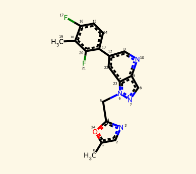 Cc1cnc(Cn2ncc3ncc(-c4ccc(F)c(C)c4F)cc32)o1